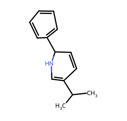 CC(C)C1=CNC(c2ccccc2)C=C1